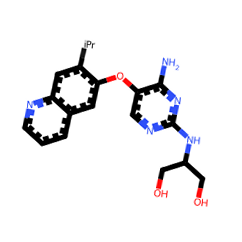 CC(C)c1cc2ncccc2cc1Oc1cnc(NC(CO)CO)nc1N